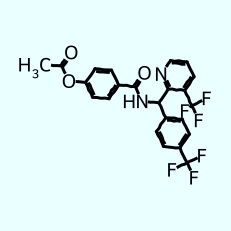 CC(=O)Oc1ccc(C(=O)NC(c2ccc(C(F)(F)F)cc2)c2ncccc2C(F)(F)F)cc1